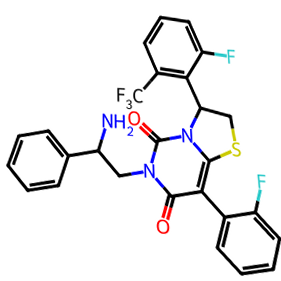 NC(Cn1c(=O)c(-c2ccccc2F)c2n(c1=O)C(c1c(F)cccc1C(F)(F)F)CS2)c1ccccc1